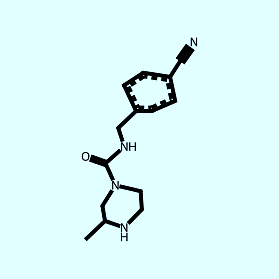 CC1CN(C(=O)NCc2ccc(C#N)cc2)CCN1